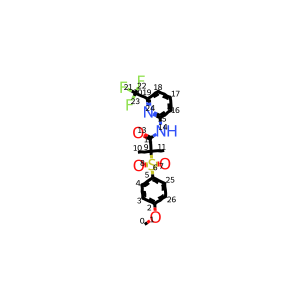 COc1ccc(S(=O)(=O)C(C)(C)C(=O)Nc2cccc(C(F)(F)F)n2)cc1